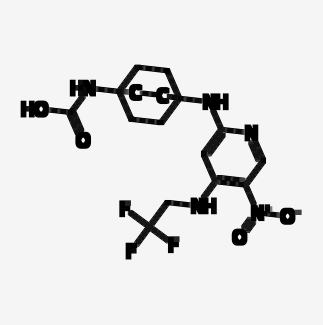 O=C(O)NC12CCC(Nc3cc(NCC(F)(F)F)c([N+](=O)[O-])cn3)(CC1)CC2